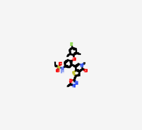 CCS(=O)(=O)Nc1ccc(Oc2c(C)cc(F)cc2C)c(-c2cn(C)c(=O)c3cc(-c4nnc(C)o4)sc23)c1